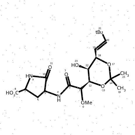 COC(C(=O)NC1CC(C(=O)O)NC1=O)[C@@H]1OC(C)(C)O[C@H](C=CC(C)(C)C)[C@@H]1O